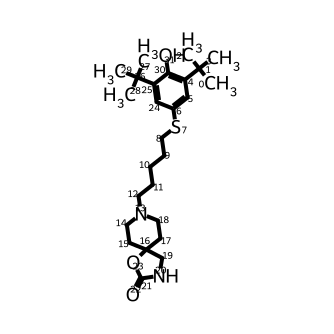 CC(C)(C)c1cc(SCCCCCN2CCC3(CC2)CNC(=O)O3)cc(C(C)(C)C)c1O